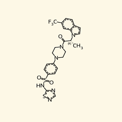 C[C@H](C(=O)N1CCN(c2ccc(S(=O)(=O)Nc3ncns3)cc2)CC1)n1ccc2ccc(C(F)(F)F)cc21